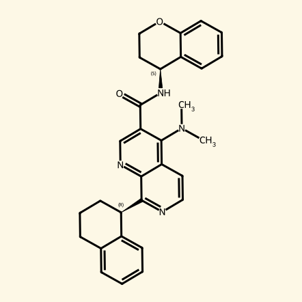 CN(C)c1c(C(=O)N[C@H]2CCOc3ccccc32)cnc2c([C@@H]3CCCc4ccccc43)nccc12